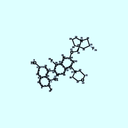 CCc1c(F)ccc2cc(O)cc(-c3ncc4c(N5CCOCC5)nc(OC[C@@]56CCCN5C[C@H](F)C6)nc4c3F)c12